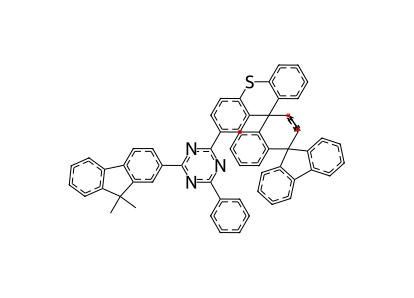 CC1(C)c2ccccc2-c2ccc(-c3nc(-c4ccccc4)nc(-c4ccc5c(c4)C4(c6ccccc6S5)c5ccccc5C5(c6ccccc6-c6ccccc65)c5ccccc54)n3)cc21